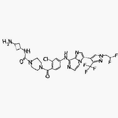 NC1CC(NC(=O)N2CCN(C(=O)c3ccc(Nc4nccn5c(-c6cn(CC(F)F)nc6C(F)(F)F)cnc45)cc3Cl)CC2)C1